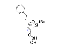 CC(C)(C)[Si](C)(C)O[C@H](/C=C/OBO)CCc1ccccc1